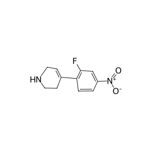 O=[N+]([O-])c1ccc(C2=CCNCC2)c(F)c1